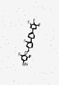 CCCc1cc(F)c(OCc2ccc(-c3ccc(-c4cc(F)c(F)c(F)c4)cc3)c(F)c2)c(F)c1